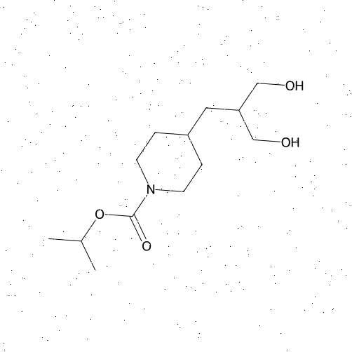 CC(C)OC(=O)N1CCC(CC(CO)CO)CC1